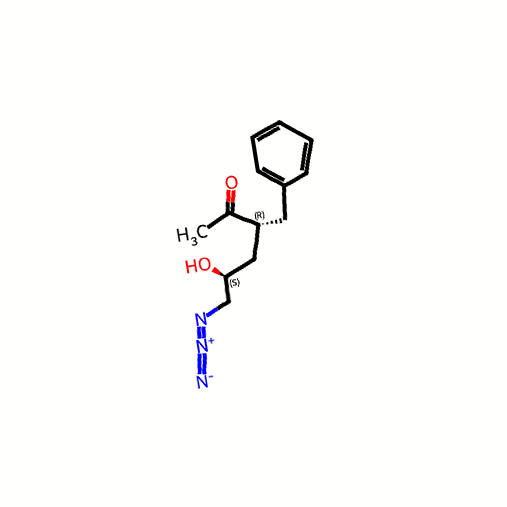 CC(=O)[C@H](Cc1ccccc1)C[C@H](O)CN=[N+]=[N-]